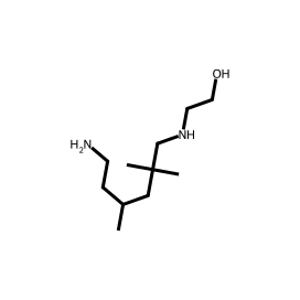 CC(CCN)CC(C)(C)CNCCO